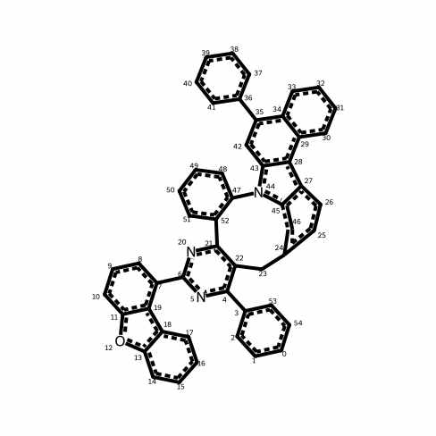 c1ccc(-c2nc(-c3cccc4oc5ccccc5c34)nc3c2Cc2ccc4c5c6ccccc6c(-c6ccccc6)cc5n(c4c2)-c2ccccc2-3)cc1